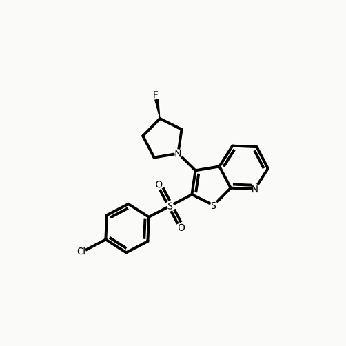 O=S(=O)(c1ccc(Cl)cc1)c1sc2ncccc2c1N1CC[C@@H](F)C1